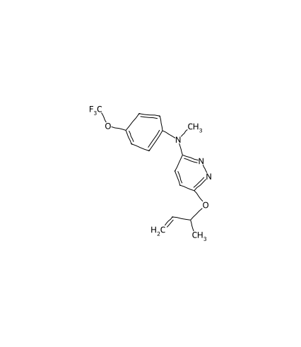 C=CC(C)Oc1ccc(N(C)c2ccc(OC(F)(F)F)cc2)nn1